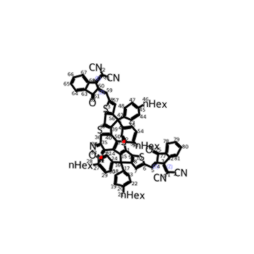 [C-]#[N+]/C(C#N)=C1\C(=C\c2cc3c(s2)-c2sc4c(c2C3(c2ccc(CCCCCC)cc2)c2ccc(CCCCCC)cc2)c2nonc2c2sc3c(c24)C(c2ccc(CCCCCC)cc2)(c2ccc(CCCCCC)cc2)c2cc(/C=C4\C(=O)c5ccccc5\C4=C(\C#N)[N+]#[C-])sc2-3)C(=O)c2ccccc21